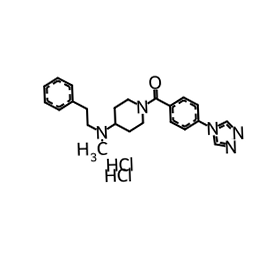 CN(CCc1ccccc1)C1CCN(C(=O)c2ccc(-n3cnnc3)cc2)CC1.Cl.Cl